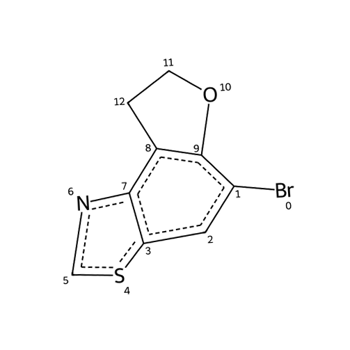 Brc1cc2scnc2c2c1OCC2